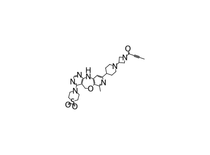 CC#CC(=O)N1CC(N2CCC(c3cc4c(c(C)n3)OCc3c(ncnc3N3CCS(=O)(=O)CC3)N4)CC2)C1